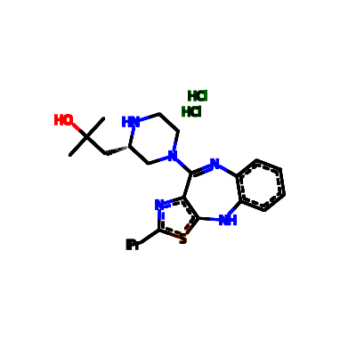 CC(C)c1nc2c(s1)Nc1ccccc1N=C2N1CCN[C@@H](CC(C)(C)O)C1.Cl.Cl